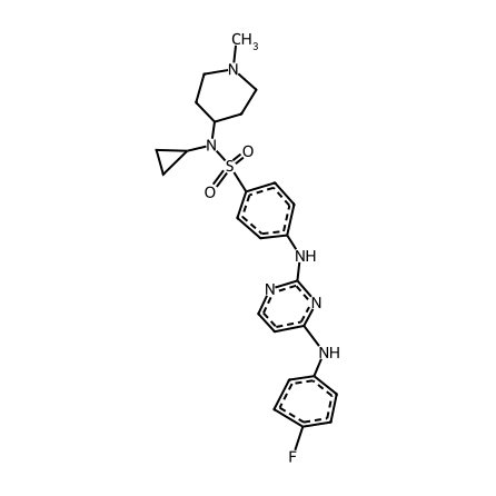 CN1CCC(N(C2CC2)S(=O)(=O)c2ccc(Nc3nccc(Nc4ccc(F)cc4)n3)cc2)CC1